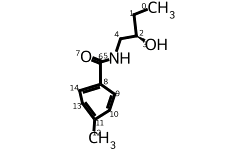 CC[C@@H](O)CNC(=O)c1ccc(C)cc1